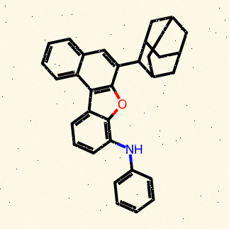 c1ccc(Nc2cccc3c2oc2c(C4C5CC6CC(C5)CC4C6)cc4ccccc4c23)cc1